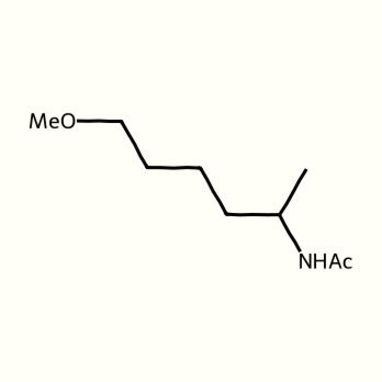 COCCCCC(C)NC(C)=O